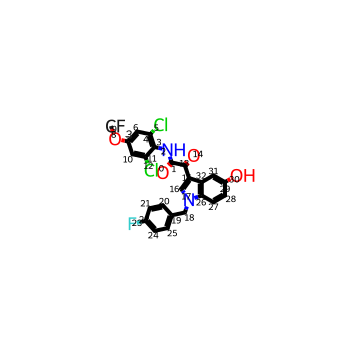 O=C(Nc1c(Cl)cc(OC(F)(F)F)cc1Cl)C(=O)c1cn(Cc2ccc(F)cc2)c2ccc(O)cc12